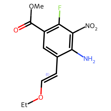 CCO/C=C/c1cc(C(=O)OC)c(F)c([N+](=O)[O-])c1N